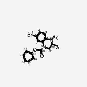 CC(=O)N1c2ccc(Br)cc2N(C(=O)Oc2ccccc2)CC1C